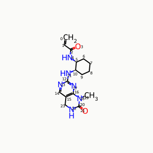 C=CC(=O)N[C@H]1CCCC[C@H]1Nc1ncc2c(n1)N(C)C(=O)NC2